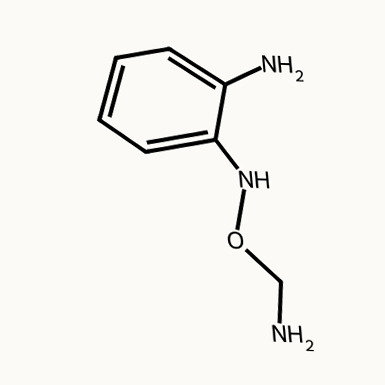 NCONc1ccccc1N